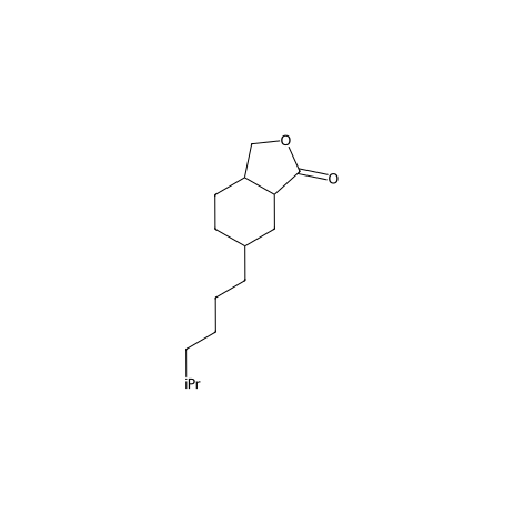 CC(C)CCCCC1CCC2COC(=O)C2C1